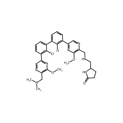 COc1nc(-c2cccc(-c3cccc(-c4cnc(CN(C)C)c(OC)n4)c3Cl)c2Cl)cnc1CNCC1CCC(=O)N1